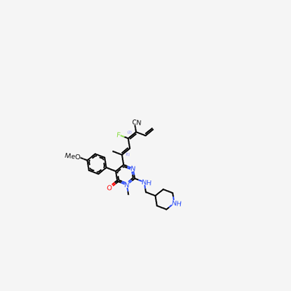 C=C/C(C#N)=C(F)\C=C(/C)c1nc(NCC2CCNCC2)n(C)c(=O)c1-c1ccc(OC)cc1